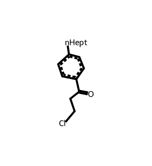 CCCCCCCc1ccc(C(=O)CCCl)cc1